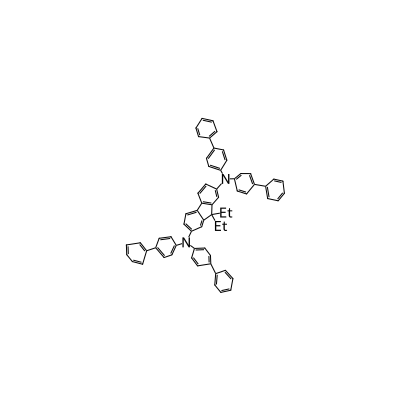 CCC1(CC)c2cc(N(c3ccc(-c4ccccc4)cc3)c3ccc(-c4ccccc4)cc3)ccc2-c2ccc(N(c3ccc(-c4ccccc4)cc3)c3ccc(-c4ccccc4)cc3)cc21